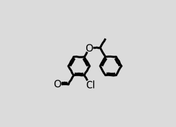 CC(Oc1ccc(C=O)c(Cl)c1)c1ccccc1